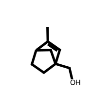 CC1=CC2(CO)CCC1C2